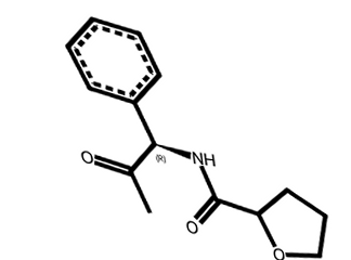 CC(=O)[C@H](NC(=O)C1CCCO1)c1ccccc1